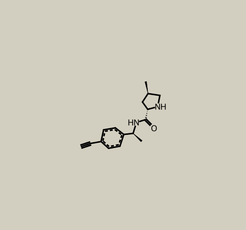 C#Cc1ccc([C@H](C)NC(=O)[C@@H]2C[C@@H](C)CN2)cc1